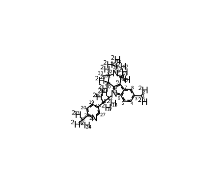 [2H]C([2H])c1ccc2c(c1)c1c(n2C([2H])([2H])C([2H])([2H])c2ccc(C([2H])([2H])[2H])nc2)C([2H])([2H])C([2H])(C)N(C([2H])([2H])[2H])C1([2H])[2H]